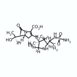 [2H]C(C)(NS(N)(=O)=O)[C@@]1([2H])NC([2H])([2H])[C@@](C)(SC2=C(C(=O)O)N3C(=O)[C@H]([C@](C)(O)C(C)C)[C@H]3[C@H]2CC)C1([2H])C